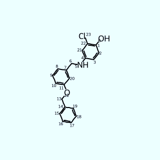 Oc1ccc(NCc2cccc(OCc3ccccc3)c2)cc1Cl